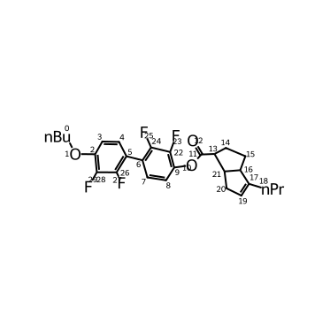 CCCCOc1ccc(-c2ccc(OC(=O)C3CCC4C(CCC)=CCC34)c(F)c2F)c(F)c1F